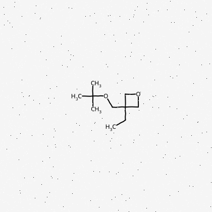 CCC1(COC(C)(C)C)COC1